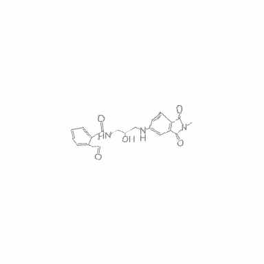 CN1C(=O)c2ccc(NCC(O)CNC(=O)c3ccccc3C=O)cc2C1=O